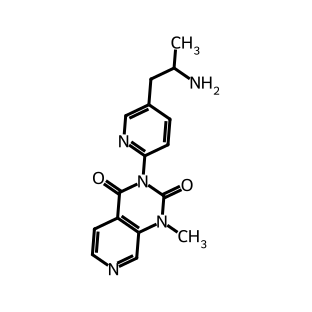 CC(N)Cc1ccc(-n2c(=O)c3ccncc3n(C)c2=O)nc1